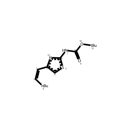 CCCC/C=C\c1csc(NC(=O)OC(C)(C)C)n1